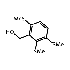 CSc1ccc(SC)c(SC)c1CO